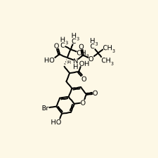 CC(C)(C)OC(=O)N[C@@](CC(Cc1cc(=O)oc2cc(O)c(Br)cc12)C(=O)O)(C(=O)O)C(C)(C)C